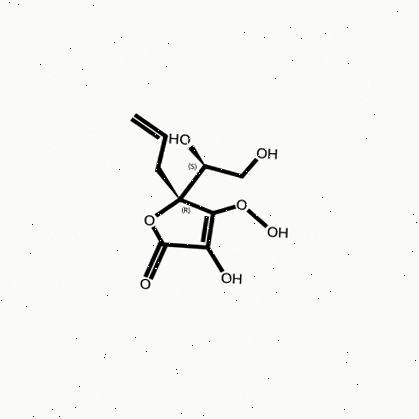 C=CC[C@]1([C@@H](O)CO)OC(=O)C(O)=C1OO